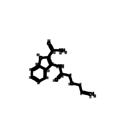 C=CCOCC(=O)Nc1c(C(N)=O)oc2ccccc12